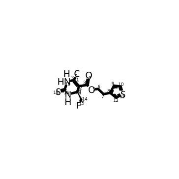 CC1=C(C(=O)OCCc2ccsc2)[C@@H](CF)NC(=S)N1